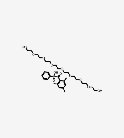 Cc1cc(C)c(C(=O)P(=O)(O)c2ccccc2)c(C)c1.OCCOCCOCCOCCOCCOCCOCCOCCO